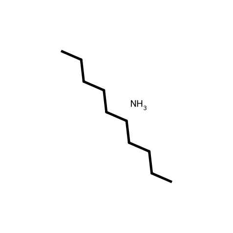 CCCCCCCCCC.N